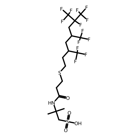 CC(C)(CS(=O)(=O)O)NC(=O)CCSCCC(CC(CC(F)(C(F)(F)F)C(F)(F)F)C(F)(F)F)C(F)(F)F